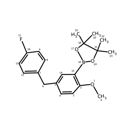 COc1ccc(Cc2ccc(F)cc2)cc1B1OC(C)(C)C(C)(C)O1